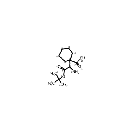 CC(C)(C)OC(=O)C(N)C1(C(=O)O)CCCCC1